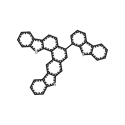 c1ccc2c(c1)oc1c2ccc2c(-c3cccc4c3sc3ccccc34)cc3cc4sc5ccccc5c4cc3c21